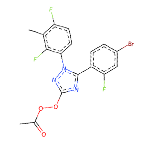 CC(=O)OOc1nc(-c2ccc(Br)cc2F)n(-c2ccc(F)c(C)c2F)n1